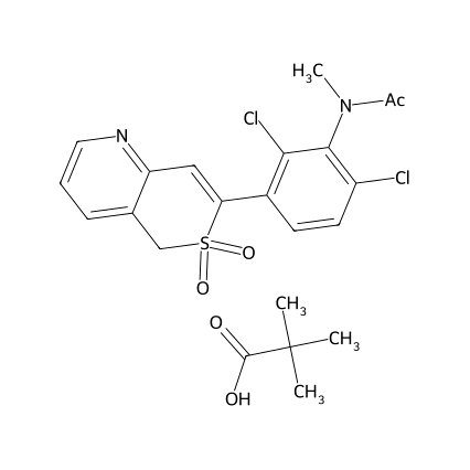 CC(=O)N(C)c1c(Cl)ccc(C2=Cc3ncccc3CS2(=O)=O)c1Cl.CC(C)(C)C(=O)O